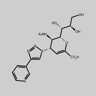 CC(=O)N[C@H]1[C@H]([C@H](O)[C@H](O)CO)OC(C(=O)O)=C[C@@H]1n1cc(-c2cccnc2)nn1